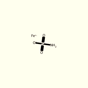 NS(=O)(=O)[O-].[Fe+]